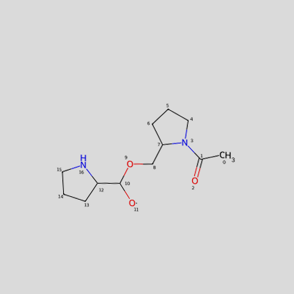 CC(=O)N1CCCC1COC([O])C1CCCN1